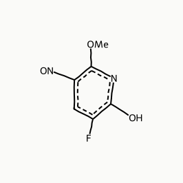 COc1nc(O)c(F)cc1N=O